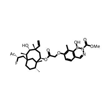 C=C[C@]1(C)C[C@@H](OC(=O)COc2ccc3c(c2C)B(O)N(C(=O)OC)N=C3)[C@@]2(C)C[C@](C[C@H](F)C(C)=O)(CC[C@H]2C)[C@@H](C)[C@@H]1O